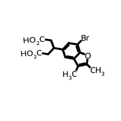 Cc1oc2c(Br)cc(C(CC(=O)O)CC(=O)O)cc2c1C